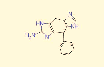 Nc1nc2c([nH]1)Cc1nc[nH]c1C2c1ccccc1